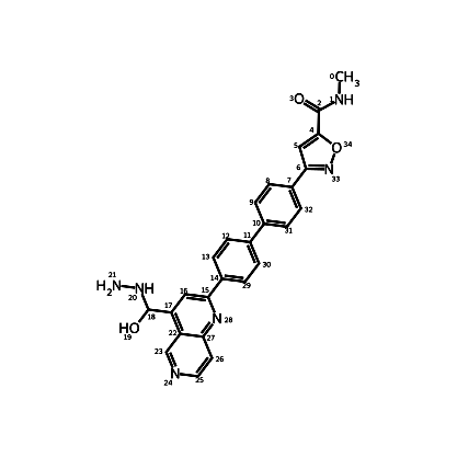 CNC(=O)c1cc(-c2ccc(-c3ccc(-c4cc(C(O)NN)c5cnccc5n4)cc3)cc2)no1